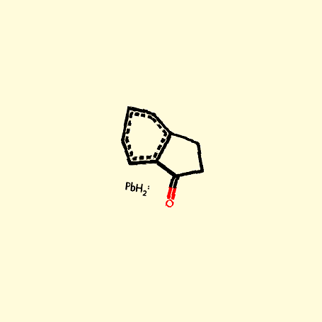 O=C1CCc2ccccc21.[PbH2]